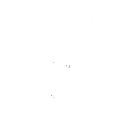 CCC1C(=O)Nc2cc3c(cc21)NC(C=Cc1ccc(OC)c(OC)c1)N3